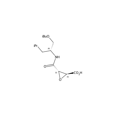 CC(C)COC[C@@H](CC(C)C)NC(=O)[C@H]1O[C@@H]1C(=O)O